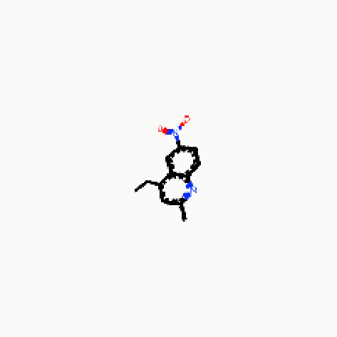 CCc1cc(C)nc2ccc([N+](=O)[O-])cc12